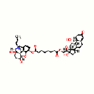 C=CCN1CC[C@]23c4c5ccc(OC(=O)CCCCCCC(=O)OCC(=O)[C@@]6(O)CC[C@H]7[C@@H]8CCC9=CC(=O)CC[C@]9(C)[C@H]8[C@@H](O)C[C@@]76C)c4O[C@H]2C(=O)CC[C@@]3(O)[C@H]1C5